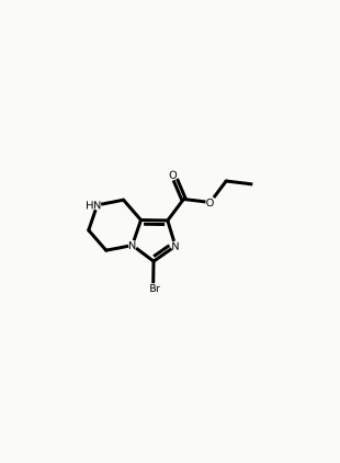 CCOC(=O)c1nc(Br)n2c1CNCC2